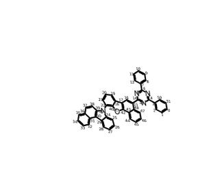 c1ccc(-c2nc(-c3ccccc3)nc(-c3cc4c5cccc(-n6c7ccccc7c7c8ccccc8ccc76)c5oc4c4ccccc34)n2)cc1